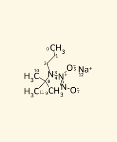 CCCN([N+]([O-])=N[O-])C(C)(C)C.[Na+]